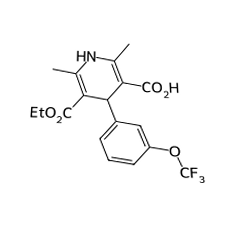 CCOC(=O)C1=C(C)NC(C)=C(C(=O)O)C1c1cccc(OC(F)(F)F)c1